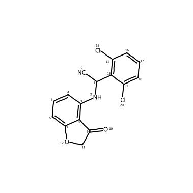 N#CC(Nc1cccc2c1C(=O)CO2)c1c(Cl)cccc1Cl